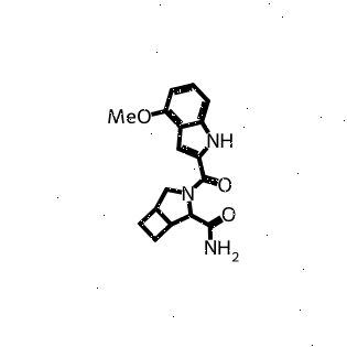 COc1cccc2[nH]c(C(=O)N3CC4CCC4C3C(N)=O)cc12